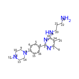 Cc1nc(-c2ccc(N3CCN(C)CC3)cc2)nc(NCCCN)c1C